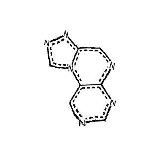 c1ncc2c(n1)ncc1nncn12